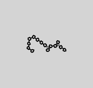 c1ccc(-c2ccc(-n3c4ccccc4c4cc(-c5ccc6c(c5)c5ccccc5n6-c5ccc(-c6ccc(-c7ccc(-c8cccc(-c9cccc(-c%10ccc(-c%11cccc(-c%12ccccc%12)c%11)cc%10)c9)c8)cc7)cc6)cc5)ccc43)cc2)cc1